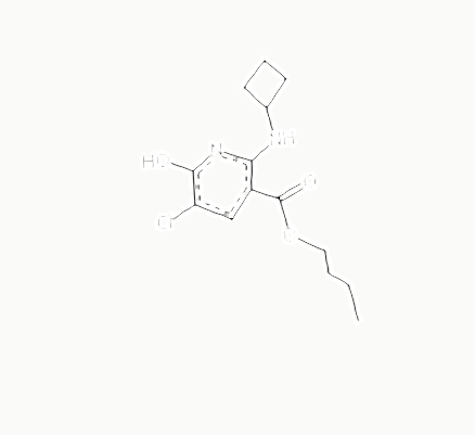 CCCCOC(=O)c1cc(Cl)c(O)nc1NC1CCC1